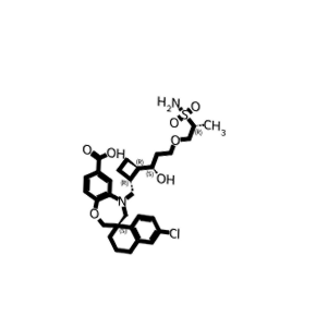 C[C@H](COCC[C@H](O)[C@@H]1CC[C@H]1CN1C[C@@]2(CCCc3cc(Cl)ccc32)COc2ccc(C(=O)O)cc21)S(N)(=O)=O